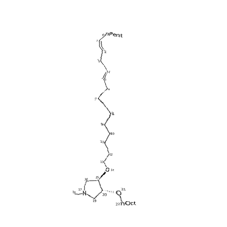 CCCCCC=CCC=CCCCCCCCCO[C@@H]1CN(C)C[C@H]1OCCCCCCCC